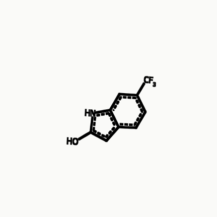 Oc1cc2ccc(C(F)(F)F)cc2[nH]1